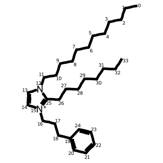 CCCCCCCCCCCCn1cc[n+](CCCc2ccccc2)c1CCCCCCCC